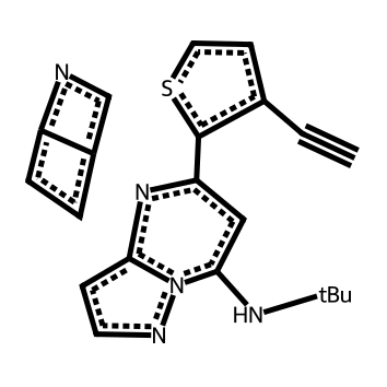 C#Cc1ccsc1-c1cc(NC(C)(C)C)n2nccc2n1.c1cc2ncc1-2